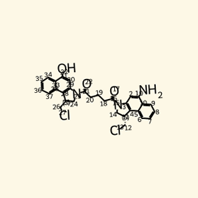 Nc1cc2c(c3ccccc13)[C@H](CCl)CN2C(=O)CCCC(=O)N1C[C@@H](CCl)c2c1cc(O)c1ccccc21